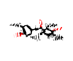 COc1cc(C=CC(=O)c2c(C(=O)O)cc(OC)c(O)c2OC)ccc1O